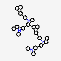 c1ccc(-n2c3ccccc3c3cc(-c4ccc5c6ccc7ccccc7c6n(-c6ccc(-c7ccc8c(c7)-c7cccc9cc(-c%10cc(-c%11ccc%12c(c%11)c%11ccc%13ccccc%13c%11n%12-c%11ccccc%11)cc%11c%10c%10ccccc%10n%11-c%10ccc(-c%11ccc%12c(c%11)-c%11cccc%13cccc-%12c%11%13)cc%10)cc-8c79)cc6)c5c4)ccc32)cc1